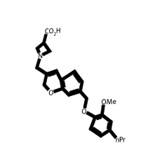 CCCc1ccc(OCc2ccc3c(c2)OCC(CN2CC(C(=O)O)C2)=C3)c(OC)c1